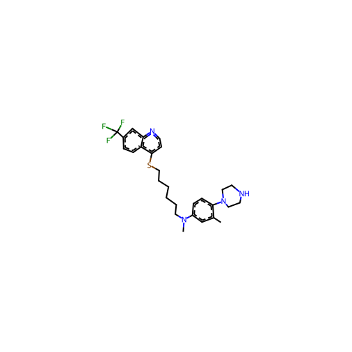 Cc1cc(N(C)CCCCCCSc2ccnc3cc(C(F)(F)F)ccc23)ccc1N1CCNCC1